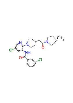 CC1CCN(C(=O)CC2CCN(c3ncc(Cl)cc3NC(=O)c3cccc(Cl)c3)CC2)CC1